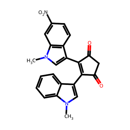 Cn1cc(C2=C(c3cn(C)c4cc([N+](=O)[O-])ccc34)C(=O)CC2=O)c2ccccc21